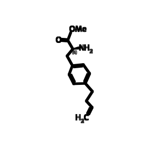 C=CCCc1ccc(C[C@H](N)C(=O)OC)cc1